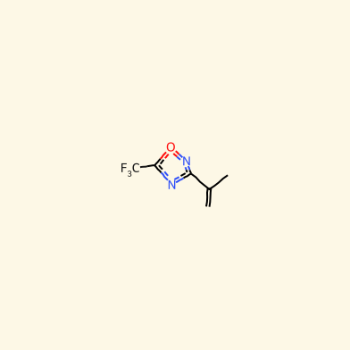 C=C(C)c1noc(C(F)(F)F)n1